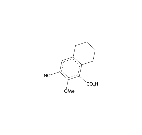 COc1c(C#N)cc2c(c1C(=O)O)CCCC2